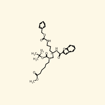 COC(=O)CCCCCN(C[C@@H](CCCNC(=O)OCc1ccccc1)NC(=O)c1cc2ccccc2o1)C(=O)OC(C)(C)C